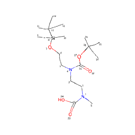 CN(CCN(CCO[Si](C)(C)C(C)(C)C)C(=O)OC(C)(C)C)C(=O)O